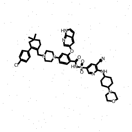 CC1(C)CCC(CN2CCN(c3ccc(C(=O)NS(=O)(=O)c4cnc(NC5CCC(N6CCOCC6)CC5)c(C#N)c4)c(Oc4cnc5[nH]ccc5c4)c3)CC2)=C(c2ccc(Cl)cc2)C1